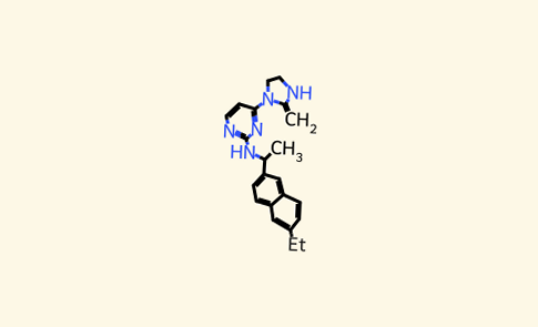 C=C1NCCN1c1ccnc(NC(C)c2ccc3cc(CC)ccc3c2)n1